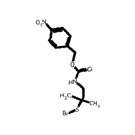 CC(C)(CNC(=O)OCc1ccc([N+](=O)[O-])cc1)SBr